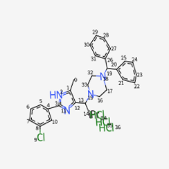 Cc1[nH]c(-c2cccc(Cl)c2)nc1C(C(C)C)N1CCN(C(c2ccccc2)c2ccccc2)CC1.Cl.Cl.Cl